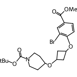 COC(=O)c1ccc(OC2CC(OC3CCN(C(=O)OC(C)(C)C)CC3)C2)c(Br)c1